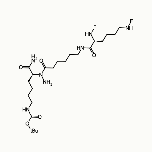 CC(C)(C)OC(=O)NCCCC[C@@H](C(N)=O)N(N)C(=O)CCCCCNC(=O)[C@H](CCCCNF)NF